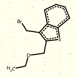 CCOCc1sc2ccccc2c1CBr